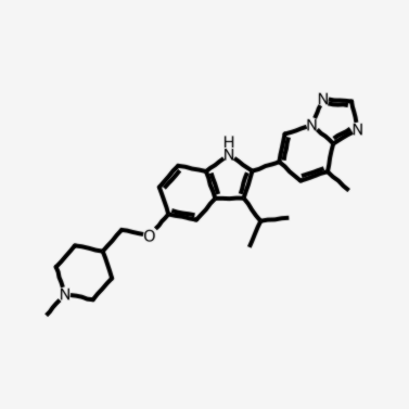 Cc1cc(-c2[nH]c3ccc(OCC4CCN(C)CC4)cc3c2C(C)C)cn2ncnc12